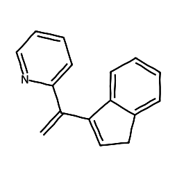 C=C(C1=CCc2ccccc21)c1ccccn1